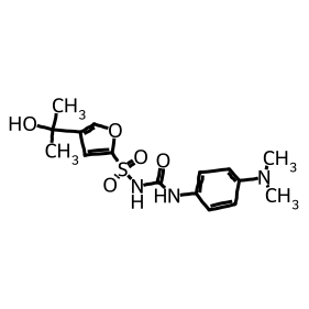 CN(C)c1ccc(NC(=O)NS(=O)(=O)c2cc(C(C)(C)O)co2)cc1